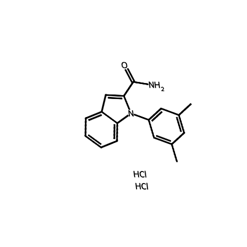 Cc1cc(C)cc(-n2c(C(N)=O)cc3ccccc32)c1.Cl.Cl